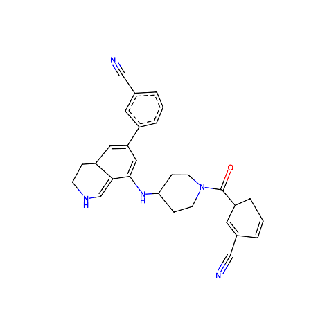 N#CC1=CC(C(=O)N2CCC(NC3=CC(c4cccc(C#N)c4)=CC4CCNC=C34)CC2)CC=C1